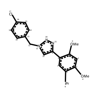 COc1cc(OC)c(C(C)C)cc1-c1cn(Cc2ccc(Cl)cc2)nn1